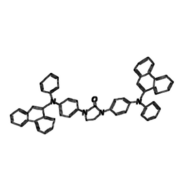 O=C1N(c2ccc(N(c3ccccc3)c3cc4ccccc4c4ccccc34)cc2)CCN1c1ccc(N(c2ccccc2)c2cc3ccccc3c3ccccc23)cc1